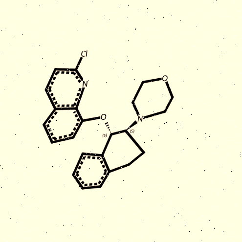 Clc1ccc2cccc(O[C@H]3c4ccccc4CC[C@@H]3N3CCOCC3)c2n1